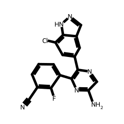 N#Cc1cccc(-c2nc(N)cnc2-c2cc(Cl)c3[nH]ncc3c2)c1F